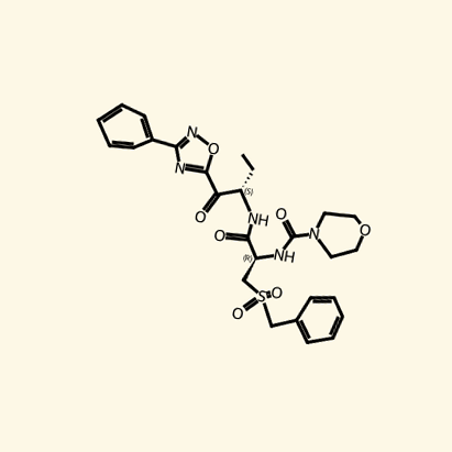 CC[C@H](NC(=O)[C@H](CS(=O)(=O)Cc1ccccc1)NC(=O)N1CCOCC1)C(=O)c1nc(-c2ccccc2)no1